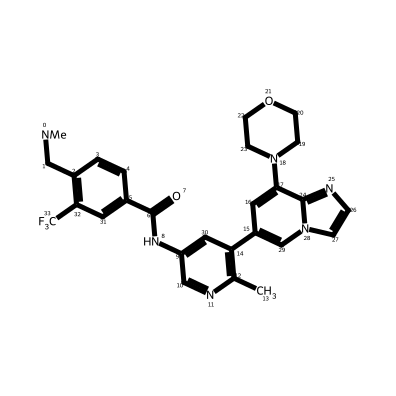 CNCc1ccc(C(=O)Nc2cnc(C)c(-c3cc(N4CCOCC4)c4nccn4c3)c2)cc1C(F)(F)F